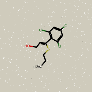 CCCCCCCCCCCCSC(=CCO)c1c(Cl)cc(Cl)cc1Cl